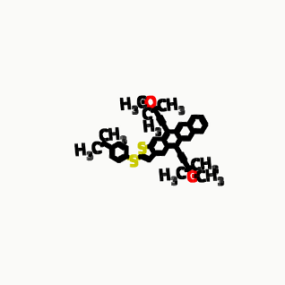 COC(C)(C)C#Cc1c2cc3ccccc3cc2c(C#CC(C)(C)OC)c2cc3sc(Sc4ccc(C(C)C)cc4)cc3cc12